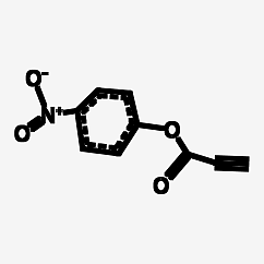 C#CC(=O)Oc1ccc([N+](=O)[O-])cc1